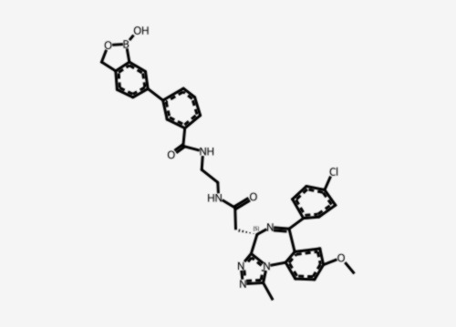 COc1ccc2c(c1)C(c1ccc(Cl)cc1)=N[C@@H](CC(=O)NCCNC(=O)c1cccc(-c3ccc4c(c3)B(O)OC4)c1)c1nnc(C)n1-2